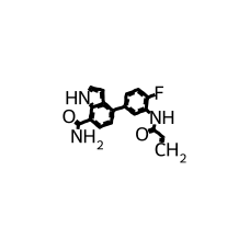 C=CC(=O)Nc1cc(-c2ccc(C(N)=O)c3[nH]ccc23)ccc1F